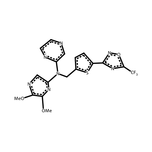 COc1ncc(N(Cc2ccc(-c3noc(C(F)(F)F)n3)s2)c2cnccn2)nc1OC